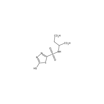 O=C(O)CC(NS(=O)(=O)c1nnc(S)s1)C(=O)O